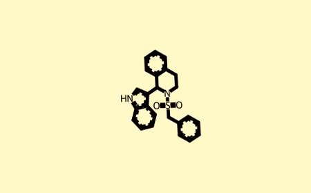 O=S(=O)(Cc1ccccc1)N1CCc2ccccc2C1c1c[nH]c2ccccc12